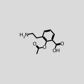 CC(=O)Oc1c(CCN)cccc1C(=O)O